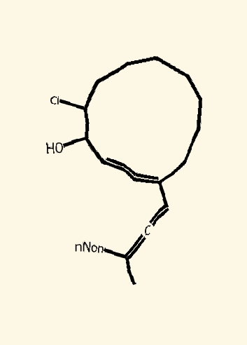 CCCCCCCCCC(C)=C=CC1=C=CC(O)C(Cl)CCCCCCC1